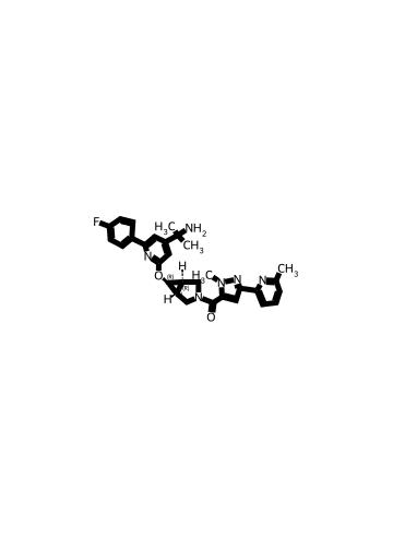 Cc1cccc(-c2cc(C(=O)N3C[C@@H]4[C@H](C3)[C@@H]4Oc3cc(C(C)(C)N)cc(-c4ccc(F)cc4)n3)n(C)n2)n1